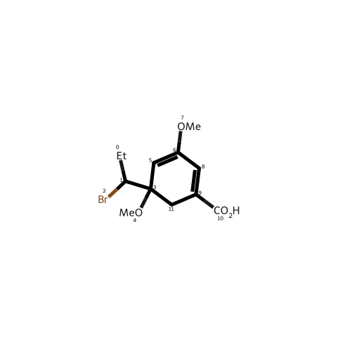 CCC(Br)C1(OC)C=C(OC)C=C(C(=O)O)C1